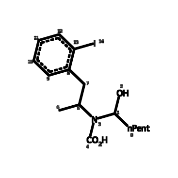 CCCCCC(O)N(C(=O)O)C(C)Cc1ccccc1I